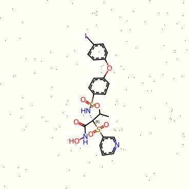 CC(C)[C@](NS(=O)(=O)c1ccc(Oc2ccc(I)cc2)cc1)(C(=O)NO)S(=O)(=O)c1cccnc1